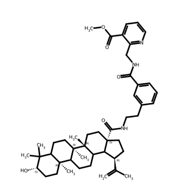 C=C(C)[C@@H]1CC[C@]2(C(=O)NCCc3cccc(C(=O)NCc4ncccc4C(=O)OC)c3)CC[C@]3(C)C(CCC4[C@@]5(C)CC[C@H](O)C(C)(C)C5CC[C@]43C)C12